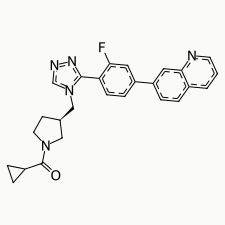 O=C(C1CC1)N1CC[C@@H](Cn2cnnc2-c2ccc(-c3ccc4cccnc4c3)cc2F)C1